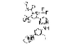 CCc1cc(N2CC3CCC(C2)N3)ccc1Nc1ncc(C(F)(F)F)c(-c2cc3c(s2)C(=O)N(C2CC2)CCS3(=O)=O)n1